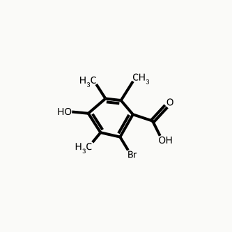 Cc1c(C)c(C(=O)O)c(Br)c(C)c1O